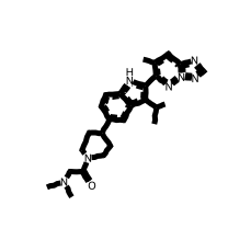 Cc1cc2ncnn2nc1-c1[nH]c2ccc(C3CCN(C(=O)CN(C)C)CC3)cc2c1C(C)C